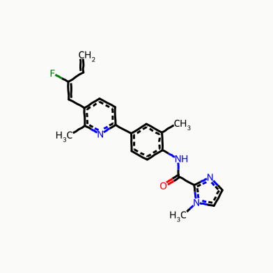 C=C/C(F)=C\c1ccc(-c2ccc(NC(=O)c3nccn3C)c(C)c2)nc1C